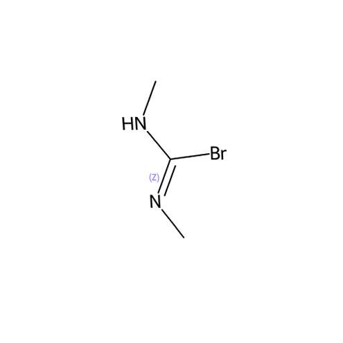 C/N=C(\Br)NC